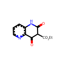 CCOC(=O)C1C(=O)Nc2cccnc2C1=O